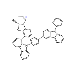 C#Cc1sc2c(-c3cccc4c5ccccc5n(-c5ccc(-c6ccc7c(c6)c6ccccc6n7-c6ccccc6)cc5)c34)cccc2c1/C=C\C